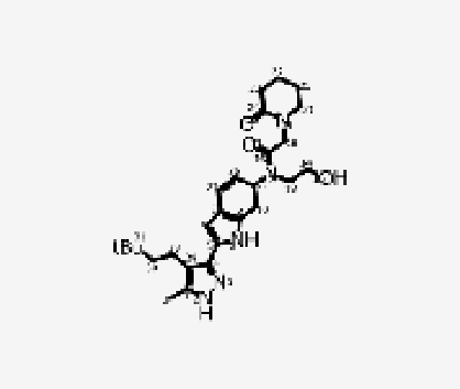 Cc1[nH]nc(-c2cc3c([nH]2)CC(N(CCO)C(=O)CN2CCCCC2=O)C=C3)c1CCC(C)(C)C